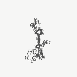 CCO/N=C1\C(C#Cc2cccc(OCC(N)=O)c2)=CC=C1n1ccnc1[C@H](C)O